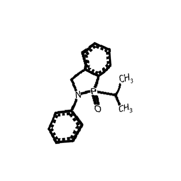 CC(C)P1(=O)c2ccccc2CN1c1ccccc1